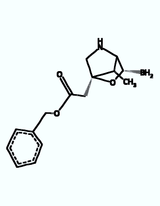 B[C@@H]1O[C@@]2(CC(=O)OCc3ccccc3)CNC1C2C